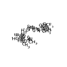 Cc1ncsc1-c1ccc([C@H](C)NC(=O)[C@@H]2C[C@@H](O)CN2C(=O)[C@@H](NC(=O)C2CC3(CCN(C(=O)CN4CCN(CCn5cc6cc(NC(=O)c7cccc(C(F)(F)F)n7)c(C(C)(C)O)cc6n5)C4=O)CC3)C2)C(C)(C)C)cc1